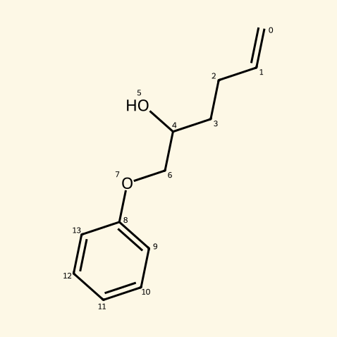 C=CCCC(O)COc1ccccc1